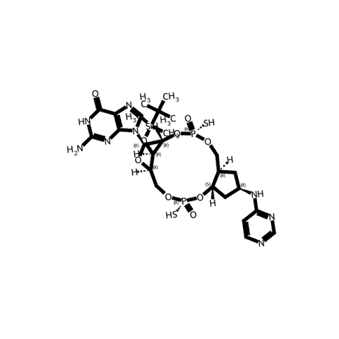 CC(C)(C)[Si](C)(C)O[C@H]1[C@H]2O[P@](=O)(S)OC[C@H]3C[C@@H](Nc4ccncn4)C[C@@H]3O[P@](=O)(S)OC[C@H]1O[C@H]2n1cnc2c(=O)[nH]c(N)nc21